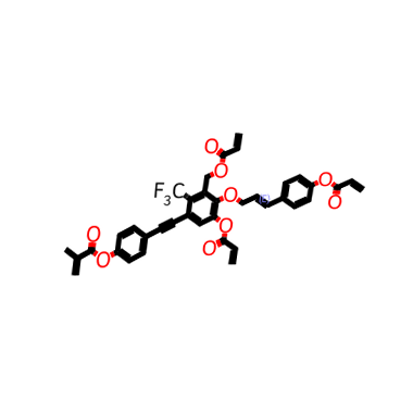 C=CC(=O)OCc1c(OC/C=C/c2ccc(OC(=O)C=C)cc2)c(OC(=O)C=C)cc(C#Cc2ccc(OC(=O)C(=C)C)cc2)c1C(F)(F)F